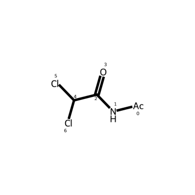 [CH2]C(=O)NC(=O)C(Cl)Cl